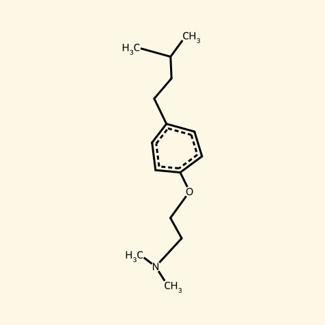 CC(C)CCc1ccc(OCCN(C)C)cc1